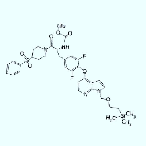 CC(C)(C)OC(=O)NC(Cc1cc(F)c(Oc2ccnc3c2ccn3COCC[Si](C)(C)C)c(F)c1)C(=O)N1CCC(S(=O)(=O)c2ccccc2)CC1